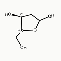 OC[SH]1OC(O)C[C@@H]1O